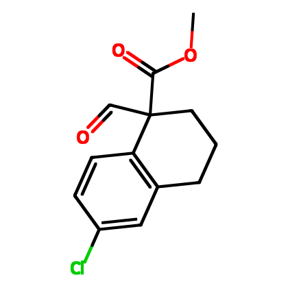 COC(=O)C1(C=O)CCCc2cc(Cl)ccc21